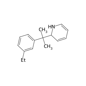 CCc1cccc(C(C)(C)C2C=CC=CN2)c1